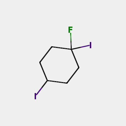 FC1(I)CCC(I)CC1